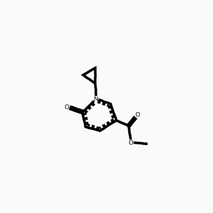 COC(=O)c1ccc(=O)n(C2CC2)c1